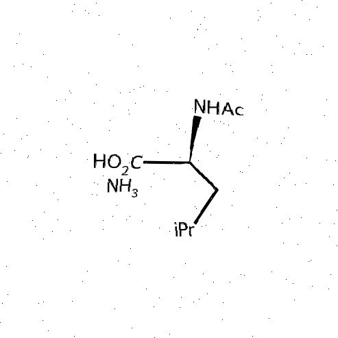 CC(=O)N[C@@H](CC(C)C)C(=O)O.N